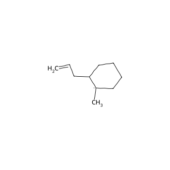 C=CCC1CCCC[C]1C